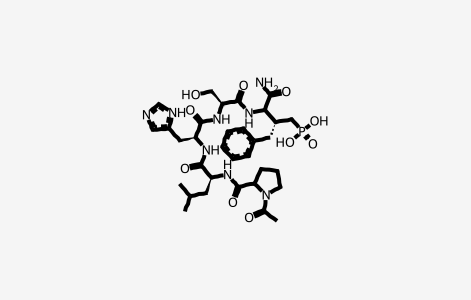 CC(=O)N1CCCC1C(=O)N[C@@H](CC(C)C)C(=O)N[C@@H](Cc1cnc[nH]1)C(=O)N[C@@H](CO)C(=O)NC(C(N)=O)[C@@H](Cc1ccccc1)CP(=O)(O)O